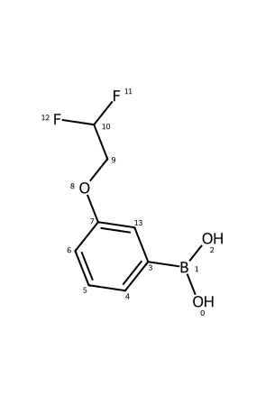 OB(O)c1cccc(OCC(F)F)c1